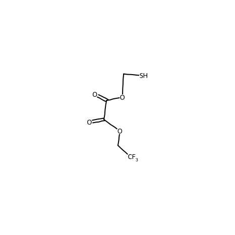 O=C(OCS)C(=O)OCC(F)(F)F